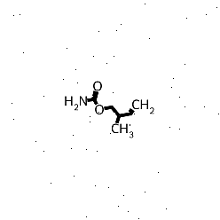 C=CC(C)COC(N)=O